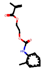 C=C(C)C(=O)OCCOC(=O)Nc1ccccc1C